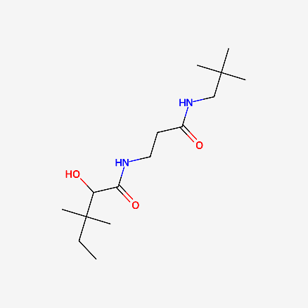 CCC(C)(C)C(O)C(=O)NCCC(=O)NCC(C)(C)C